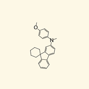 COc1ccc(N(C)c2ccc3c(c2)C2(CCCCC2)c2ccccc2-3)cc1